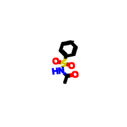 CC(=O)NS(=O)(=O)c1cc[c]cc1